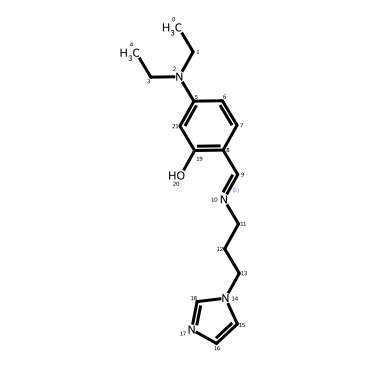 CCN(CC)c1ccc(/C=N/CCCn2ccnc2)c(O)c1